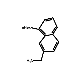 CCCCCCc1cccc2ccc(CN)cc12